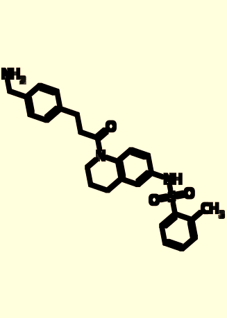 Cc1ccccc1S(=O)(=O)Nc1ccc2c(c1)CCCN2C(=O)CCc1ccc(CN)cc1